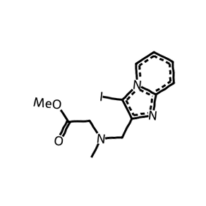 COC(=O)CN(C)Cc1nc2ccccn2c1I